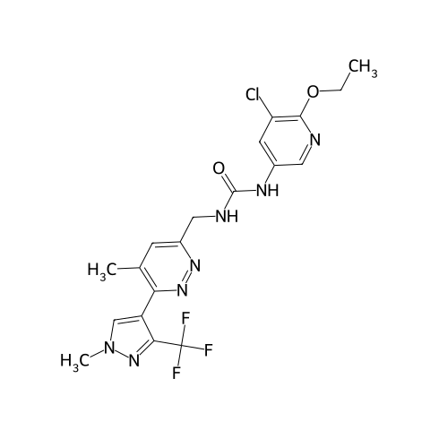 CCOc1ncc(NC(=O)NCc2cc(C)c(-c3cn(C)nc3C(F)(F)F)nn2)cc1Cl